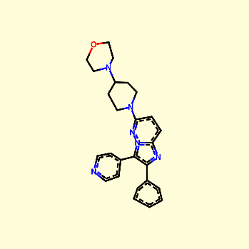 c1ccc(-c2nc3ccc(N4CCC(N5CCOCC5)CC4)nn3c2-c2ccncc2)cc1